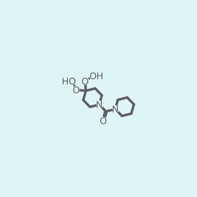 O=C(N1CCCCC1)N1CCC(OO)(OO)CC1